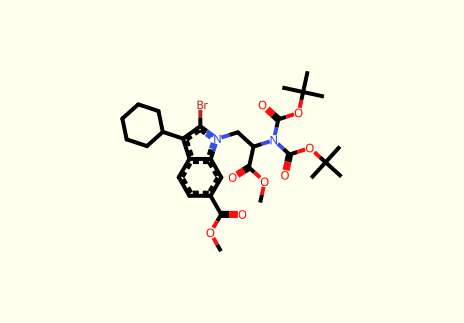 COC(=O)c1ccc2c(C3CCCCC3)c(Br)n(CC(C(=O)OC)N(C(=O)OC(C)(C)C)C(=O)OC(C)(C)C)c2c1